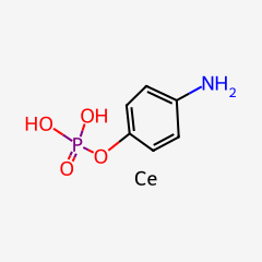 Nc1ccc(OP(=O)(O)O)cc1.[Ce]